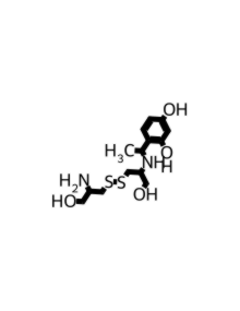 CC(NC(CO)CSSCC(N)CO)c1ccc(O)cc1O